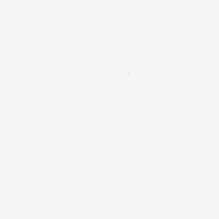 CC(C)(C)OOCCOOC(C)(C)C